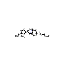 C=C(/C=C1/CC[C@@H](COCCC(C)C)C/C1=C/C)[C@H]1CC[C@](N)(CO)C1